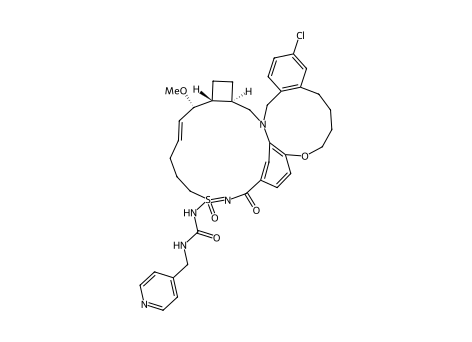 CO[C@H]1/C=C/CCCS(=O)(NC(=O)NCc2ccncc2)=NC(=O)c2ccc3c(c2)N(Cc2ccc(Cl)cc2CCCCO3)C[C@@H]2CC[C@H]21